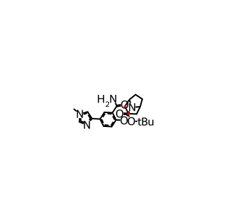 Cn1cnc(-c2ccc(OC3CC4CCC(C3)N4C(=O)OC(C)(C)C)c(C(N)=O)c2)c1